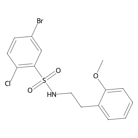 COc1ccccc1CCNS(=O)(=O)c1cc(Br)ccc1Cl